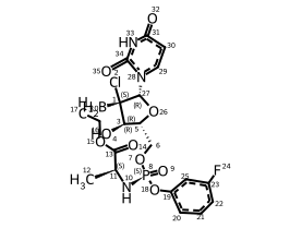 B[C@]1(Cl)[C@H](O)[C@@H](CO[P@@](=O)(N[C@@H](C)C(=O)OCC)Oc2cccc(F)c2)O[C@H]1n1ccc(=O)[nH]c1=O